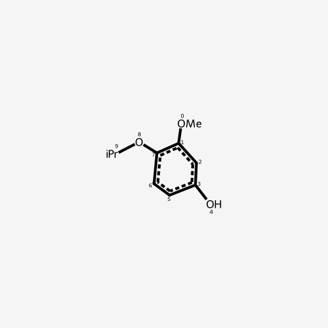 COc1cc(O)ccc1OC(C)C